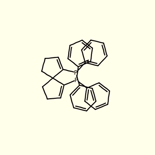 C1=C(P(c2ccccc2)c2ccccc2)C2(CC1)CCC=C2P(c1ccccc1)c1ccccc1